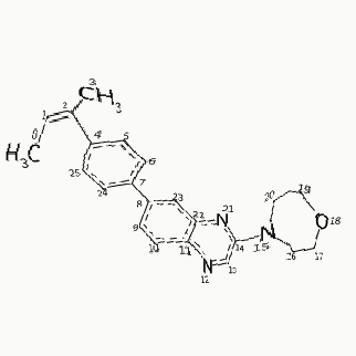 C/C=C(/C)c1ccc(-c2ccc3ncc(N4CCOCC4)nc3c2)cc1